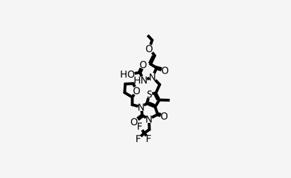 CCO/C=C/C(=O)N(Cc1sc2c(c1C)c(=O)n(CC(F)(F)F)c(=O)n2CC1CCCO1)NC(=O)O